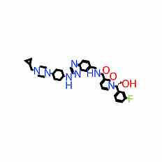 O=C(NCc1ccc2ncc(N[C@H]3CC[C@H](N4CCN(CC5CC5)CC4)CC3)nc2c1)c1cccn([C@H](CO)c2cccc(F)c2)c1=O